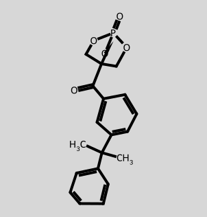 CC(C)(c1ccccc1)c1cccc(C(=O)C23COP(=O)(OC2)OC3)c1